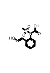 CS(=O)(=O)N(C(=O)O)c1ccccc1C=NO